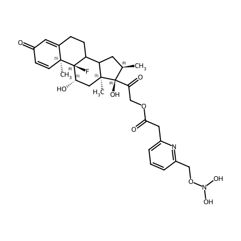 C[C@@H]1CC2C3CCC4=CC(=O)C=C[C@]4(C)[C@@]3(F)[C@@H](O)C[C@]2(C)[C@@]1(O)C(=O)COC(=O)Cc1cccc(CON(O)O)n1